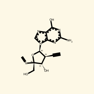 C#C[C@@H]1[C@H](n2cnc3c(O)nc(N)nc32)O[C@@](CO)(N=C)[C@H]1O